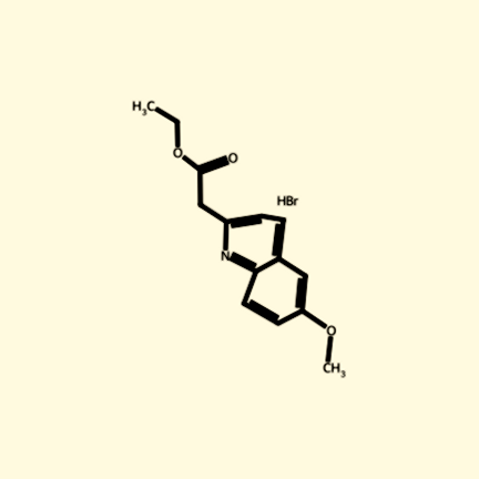 Br.CCOC(=O)Cc1ccc2cc(OC)ccc2n1